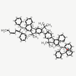 C=C/C=C\C=C(/c1ccccc1)N(c1ccccc1)c1cc2c(c3ccccc13)-c1cc(C(C)(C)C)c(-c3ccc4c(c3)C(C)(C)c3cc(N(c5ccccc5)c5ccccc5-c5ccccc5)c5ccccc5c3-4)cc1C2(C)C